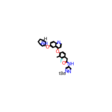 Cc1c(Oc2ccnc3ccc(O[C@H]4CC5CC[C@@H](C4)N5)cc23)ccc(CC(=O)Nc2cnn(C(C)(C)C)c2)c1F